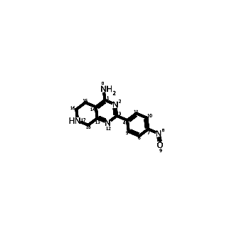 Nc1nc(-c2ccc(N=O)cc2)nc2c1CCNC2